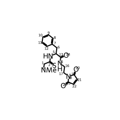 CNCC(=S)NC(Cc1ccccc1)C(=O)NCCN1C(=O)C=CC1=O